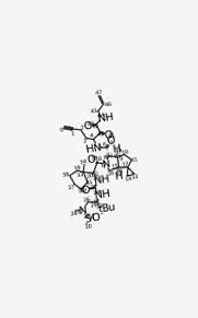 C#CCCC(NC(=O)[C@@H]1[C@H]2CCC3(CC3)[C@H]2CN1C(=O)[C@@H](NC(=O)N[C@H](CN(C)[S+](C)[O-])C(C)(C)C)C1(C)CCCCC1)C(=O)C(=O)NCC=C